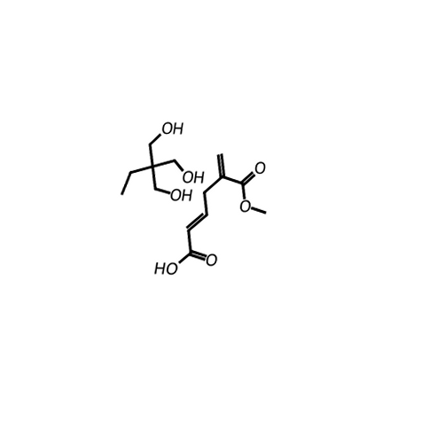 C=C(CC=CC(=O)O)C(=O)OC.CCC(CO)(CO)CO